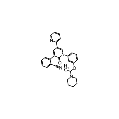 CC(Oc1cccc(-n2cc(-c3ccccn3)cc(-c3ccccc3C#N)c2=O)c1)N1CCCCC1